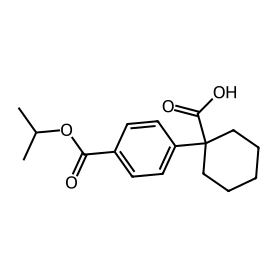 CC(C)OC(=O)c1ccc(C2(C(=O)O)CCCCC2)cc1